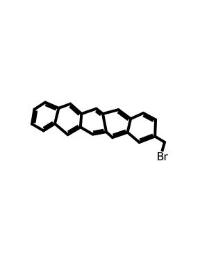 BrCc1ccc2cc3cc4cc5ccccc5cc4cc3cc2c1